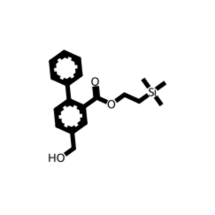 C[Si](C)(C)CCOC(=O)c1cc(CO)ccc1-c1ccccc1